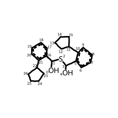 OC(SC(O)c1ccccc1C1CCCC1)c1ccccc1C1CCCC1